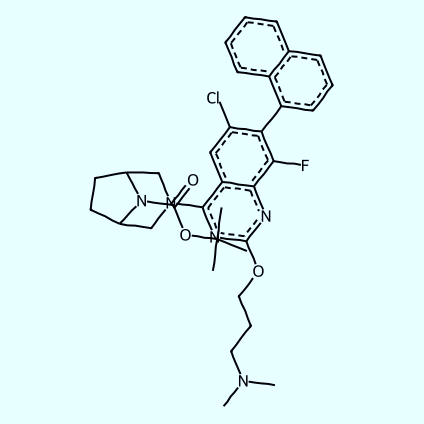 CN(C)CCCOc1nc(N2CC3CCC(C2)N3C(=O)OC(C)(C)C)c2cc(Cl)c(-c3cccc4ccccc34)c(F)c2n1